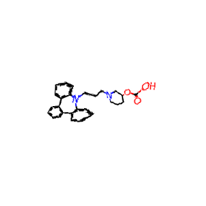 O=C(O)OC1CCCN(CCCN2c3ccccc3-c3ccccc3-c3ccccc32)C1